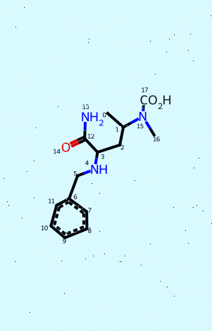 CC(CC(NCc1ccccc1)C(N)=O)N(C)C(=O)O